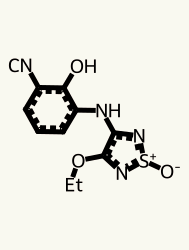 [C-]#[N+]c1cccc(Nc2n[s+]([O-])nc2OCC)c1O